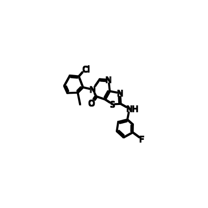 Cc1cccc(Cl)c1-n1cnc2nc(Nc3cccc(F)c3)sc2c1=O